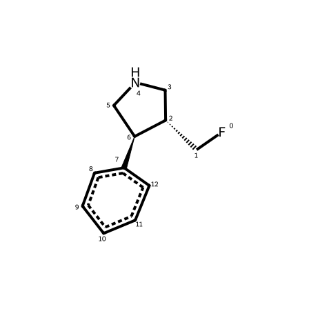 FC[C@H]1CNC[C@@H]1c1ccccc1